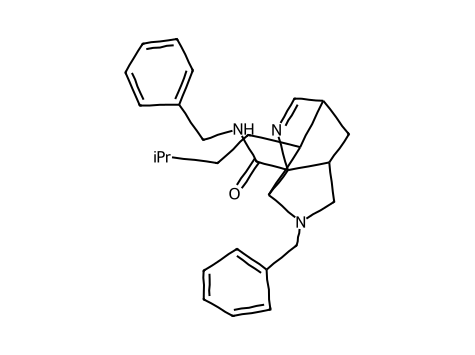 CC(C)CCC1C2C=NC3(C(=O)NCc4ccccc4)C(C2)CN(Cc2ccccc2)C13